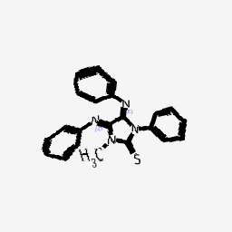 CN1C(=S)N(c2ccccc2)C(=N/c2ccccc2)/C1=N/c1ccccc1